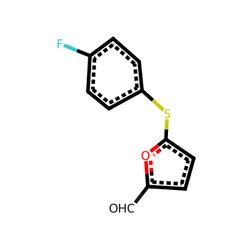 O=Cc1ccc(Sc2ccc(F)cc2)o1